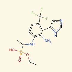 CCOP(=O)(O)C(C)Nc1ccc(C(F)(F)F)c(-c2cnc[nH]2)c1N